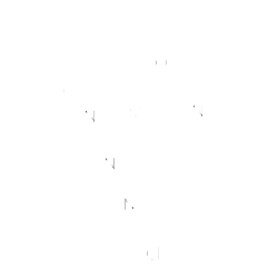 CCCCN(C)C(=O)OC1c2ccccc2C(=O)N1c1ccc2ccc(Cl)nc2n1